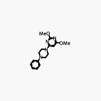 COc1cc(N2CCN(c3ccccc3)CC2)nc(OC)n1